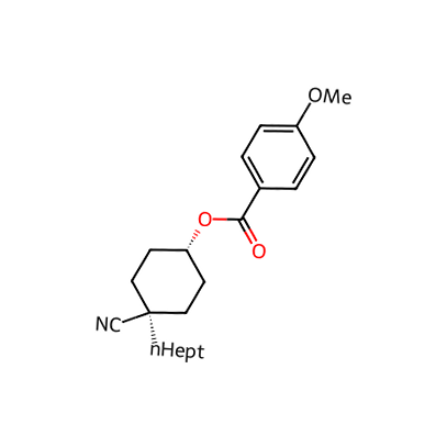 CCCCCCC[C@]1(C#N)CC[C@H](OC(=O)c2ccc(OC)cc2)CC1